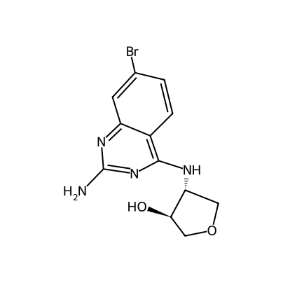 Nc1nc(N[C@@H]2COC[C@H]2O)c2ccc(Br)cc2n1